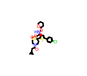 O=C(C[C@]1(c2ccc(-c3ccc(Cl)cc3)s2)CCN(C(=O)CC2CC2)CCS1(=O)=O)NOC1CCCCO1